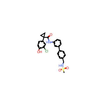 CS(=O)(=O)NCc1ccc(-c2cccc(NC(=O)C3(c4ccc(O)c(Cl)c4)CC3)c2)cc1